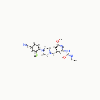 CCNC(=O)Nc1cc(CN2CCN(c3ccc(C#N)cc3F)CC2)cc(OC)n1